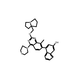 Cc1c(-c2cc(O)cc3ccccc23)ccc2c(N3CCSCC3)nc(OCC34CCCN3CCC4)nc12